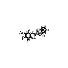 CC(=O)c1c(C)c(C[C@@H](Cl)B2OC3CC4CC(C4(C)C)[C@]3(C)O2)c(F)c(F)c1F